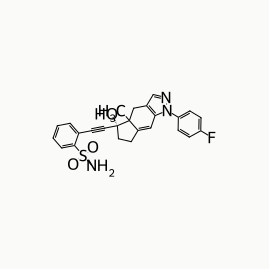 CC12Cc3cnn(-c4ccc(F)cc4)c3C=C1CC[C@@]2(O)C#Cc1ccccc1S(N)(=O)=O